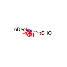 CCCCCCCCCCCC(=O)O[C@@H](CNCCCCCCCCCOC=O)COP(=O)(O)O